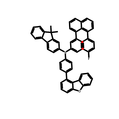 CC1(C)c2ccccc2-c2ccc(N(c3ccc(-c4cccc5oc6ccccc6c45)cc3)c3cccc(-c4cccc5cccc(-c6ccc(F)cc6)c45)c3)cc21